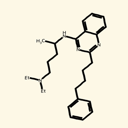 CCN(CC)CCCC(C)Nc1nc(CCCCc2ccccc2)nc2ccccc12